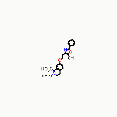 CCCCCCN1CCc2ccc(OCCc3nc(-c4ccccc4)oc3C)cc2C1C(=O)O